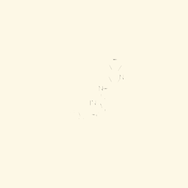 CCC1(C(=O)NC(CC(=O)O)C(=O)CF)CC(c2cnc3ccccc3c2)=NO1